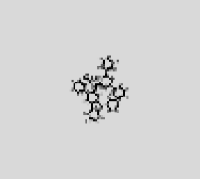 O=S1(=O)c2ccccc2-c2cc3c4ccccc4n(-c4ccccc4)c3cc2N1c1nc(-c2ccccc2)nc(-c2ccccc2)n1